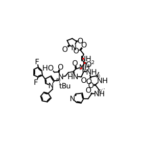 C[C@H](NC(=O)Cc1ccncc1)C(=O)N[C@H](C)C(=O)N[C@@H](CC(N)=O)C(=O)N[C@@H](CCN(C(=O)CO)[C@@H](c1cc(-c2cc(F)ccc2F)cn1Cc1ccccc1)C(C)(C)C)C(=O)NCCCC(=O)ON1C(=O)CCC1=O